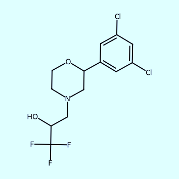 OC(CN1CCOC(c2cc(Cl)cc(Cl)c2)C1)C(F)(F)F